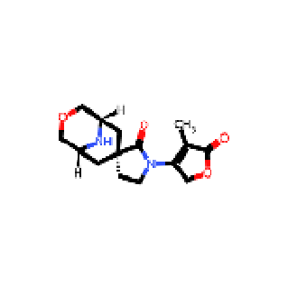 CC1=C(N2CC[C@]3(C[C@H]4COC[C@@H](C3)N4)C2=O)COC1=O